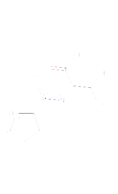 CC(C)[C@H](NC(=O)[C@H]1BCCC1)C(=O)O